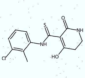 Cc1c(Cl)cccc1NC(=S)C1=C(O)CCNC1=O